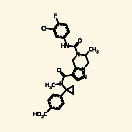 CC1Cn2ncc(C(=O)N(C)C3(c4ccc(C(=O)O)cc4)CC3)c2CN1C(=O)Nc1ccc(F)c(Cl)c1